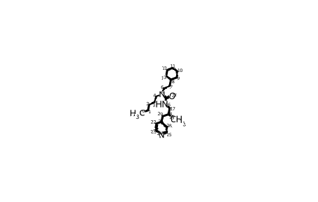 CCCCCN(CCC1CCCCC1)C(=O)NCC(C)Cc1ccncc1